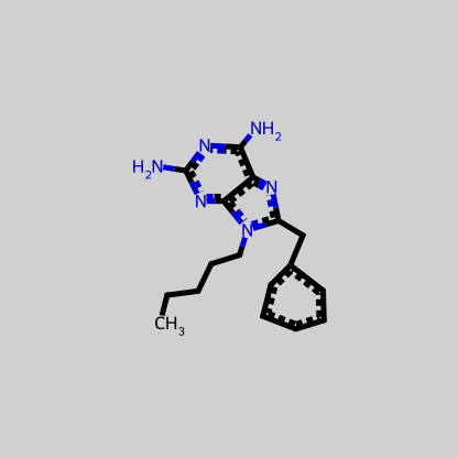 CCCCCn1c(Cc2ccccc2)nc2c(N)nc(N)nc21